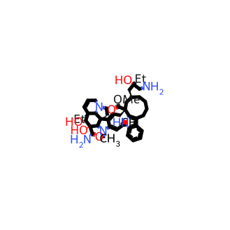 C#C/C=C1\C(=C/C[C@@]2(C(=O)OC)C[C@@H](CC(O)(CC)CN)CCCCc3c2[nH]c2ccccc32)[C@]23CCN4CC=C[C@](CC)(C42)[C@@H](O)[C@](O)(C(N)=O)C3N1C